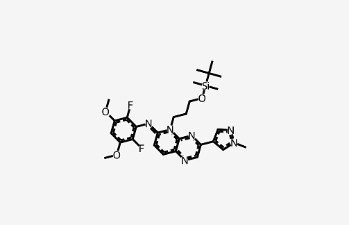 COc1cc(OC)c(F)c(/N=c2\ccc3ncc(-c4cnn(C)c4)nc3n2CCCO[Si](C)(C)C(C)(C)C)c1F